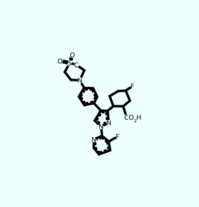 O=C(O)C1CC(F)CCC1c1nn(-c2ncccc2F)cc1-c1ccc(N2CCS(=O)(=O)CC2)cc1